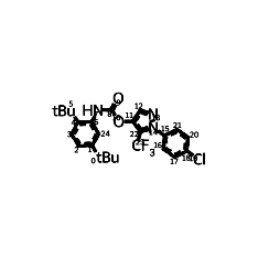 CC(C)(C)c1ccc(C(C)(C)C)c(NC(=O)Oc2cnn(-c3ccc(Cl)cc3)c2C(F)(F)F)c1